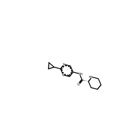 O=C(Nc1cnc(C2CC2)nc1)[C@H]1CCCCN1